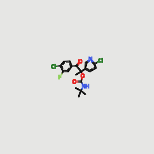 CC(C)(C)NC(=O)OC(C)(C(=O)c1ccc(Cl)c(F)c1)c1ccc(Cl)nc1